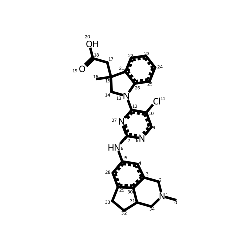 CN1Cc2cc(Nc3ncc(Cl)c(N4CC(C)(CC(=O)O)c5ccccc54)n3)cc3c2C(CC3)C1